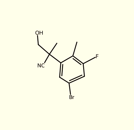 Cc1c(F)cc(Br)cc1C(C)(C#N)CO